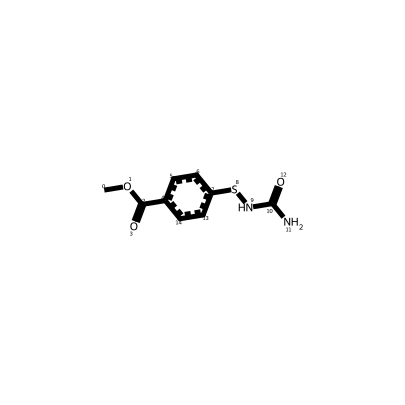 COC(=O)c1ccc(SNC(N)=O)cc1